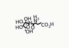 N[C@@H](CCC(=O)O)C(=O)N[C@@H]1O[C@H](CO)[C@@H](O)[C@H](O)[C@H]1O